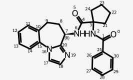 O=C(NC1(C(=O)N[C@@H]2CCc3ccccc3-n3ccnc32)CCCC1)c1ccccc1